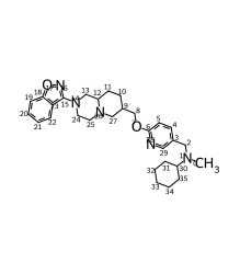 CN(Cc1ccc(OCC2CCC3CN(c4noc5ccccc45)CCN3C2)nc1)C1CCCCC1